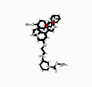 COc1ccc(CN2CC3CC(C2)N3c2ccc(-c3cc(OCCNC4CCCN(C(=O)OC(C)(C)C)C4)cn4nccc34)cn2)cc1